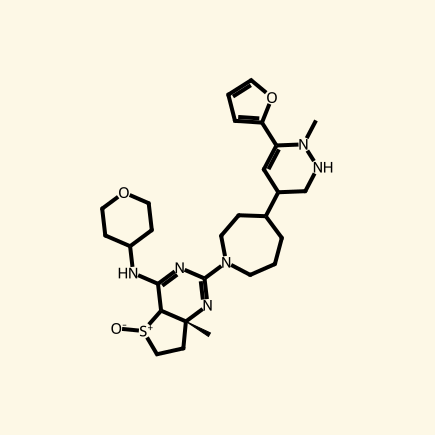 CN1NCC(C2CCCN(C3=N[C@]4(C)CC[S+]([O-])C4C(NC4CCOCC4)=N3)CC2)C=C1c1ccco1